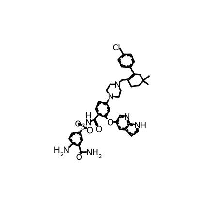 CC1(C)CCC(CN2CCN(c3ccc(C(=O)NS(=O)(=O)c4ccc(N)c(C(N)=O)c4)c(Oc4cnc5[nH]ccc5c4)c3)CC2)=C(c2ccc(Cl)cc2)C1